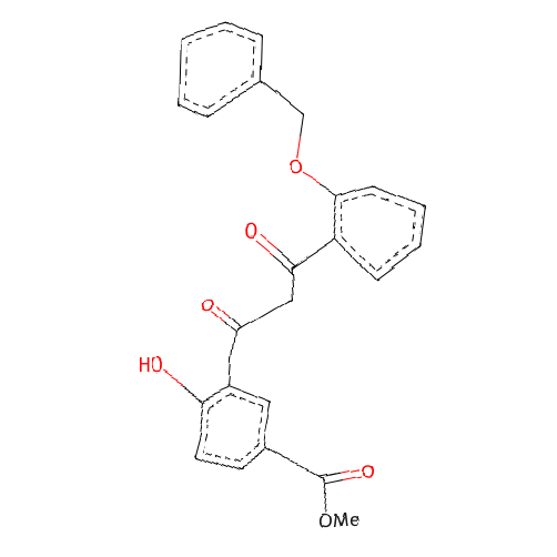 COC(=O)c1ccc(O)c(C(=O)CC(=O)c2ccccc2OCc2ccccc2)c1